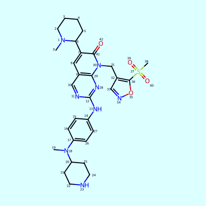 CN1CCCCC1c1cc2cnc(Nc3ccc(N(C)C4CCNCC4)cc3)nc2n(Cc2cnoc2S(C)(=O)=O)c1=O